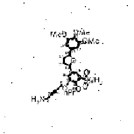 CCCOc1c(OCC#CCN)cc(C2CCC(c3cc(OC)c(OC)c(OC)c3)O2)cc1S(C)(=O)=O